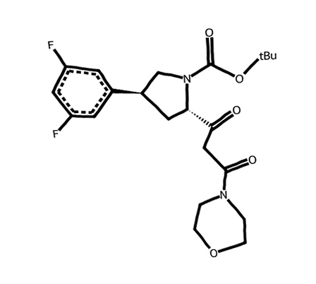 CC(C)(C)OC(=O)N1C[C@H](c2cc(F)cc(F)c2)C[C@H]1C(=O)CC(=O)N1CCOCC1